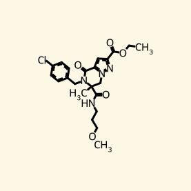 CCOC(=O)c1cc2n(n1)CC(C)(C(=O)NCCCOC)N(Cc1ccc(Cl)cc1)C2=O